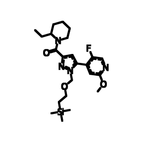 CCC1CCCCN1C(=O)c1cc(-c2cc(OC)ncc2F)n(COCC[Si](C)(C)C)n1